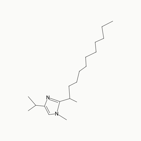 CCCCCCCCCCC(C)c1nc(C(C)C)cn1C